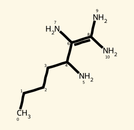 CCCCC(N)C(N)=C(N)N